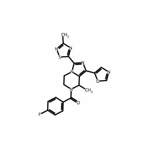 Cc1nsc(-c2nc(-c3cnco3)c3n2CCN(C(=O)c2ccc(F)cc2)C3C)n1